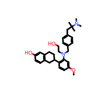 COc1ccc(C2CCc3cc(O)ccc3C2)c(N(CCO)Cc2ccc(CC(C)(C)N(C)C)cc2)c1